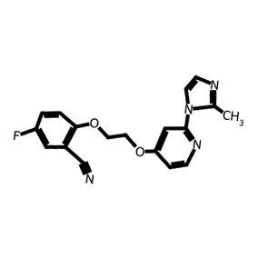 Cc1nccn1-c1cc(OCCOc2ccc(F)cc2C#N)ccn1